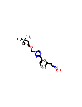 C/C=C(\S/C(=C/C=N/O)[N+](=O)[O-])c1ncn(COCC[Si](C)(C)C)n1